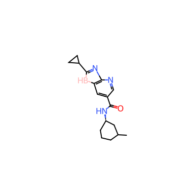 CC1CCC[C@@H](NC(=O)c2cnc3c(c2)BC(C2CC2)=N3)C1